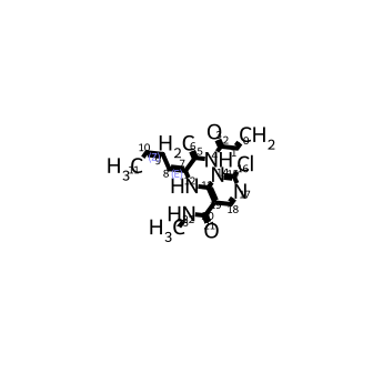 C=CC(=O)NC(=C)/C(=C\C=C/C)Nc1nc(Cl)ncc1C(=O)NC